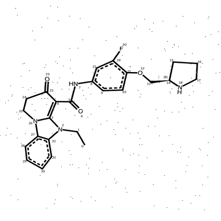 CCN1C2=C(C(=O)Nc3ccc(OC[C@H]4CCCN4)c(F)c3)C(=O)CCN2c2ccccc21